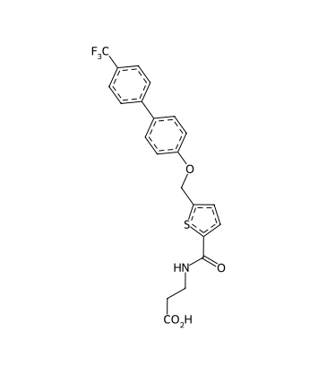 O=C(O)CCNC(=O)c1ccc(COc2ccc(-c3ccc(C(F)(F)F)cc3)cc2)s1